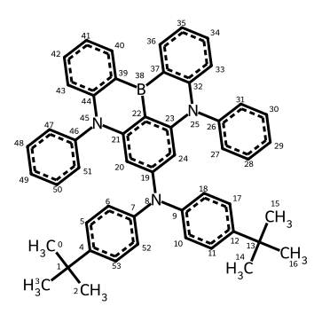 CC(C)(C)c1ccc(N(c2ccc(C(C)(C)C)cc2)c2cc3c4c(c2)N(c2ccccc2)c2ccccc2B4c2ccccc2N3c2ccccc2)cc1